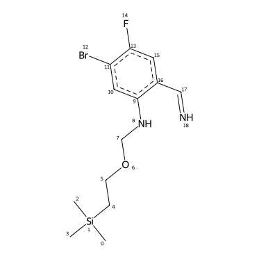 C[Si](C)(C)CCOCNc1cc(Br)c(F)cc1C=N